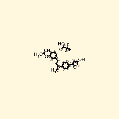 CC(C)Oc1cccc(CCN(C)c2ccc(-c3cc(O)no3)cc2)c1.O=C(O)C(F)(F)F